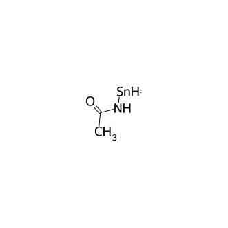 CC(=O)[NH][SnH]